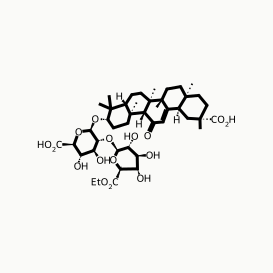 CCOC(=O)[C@H]1O[C@@H](O[C@H]2[C@H](O[C@H]3CC[C@]4(C)[C@H]5C(=O)C=C6[C@@H]7C[C@@](C)(C(=O)O)CC[C@]7(C)CC[C@@]6(C)[C@]5(C)CC[C@H]4C3(C)C)O[C@H](C(=O)O)[C@@H](O)[C@@H]2O)[C@H](O)[C@@H](O)[C@@H]1O